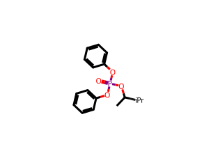 CC(C)C(C)OP(=O)(Oc1ccccc1)Oc1ccccc1